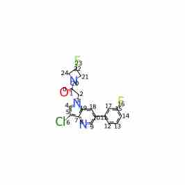 O=C(Cn1cc(Cl)c2ncc(-c3cccc(F)c3)cc21)N1CC(F)C1